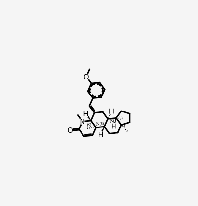 COc1cccc(C=C2C[C@H]3[C@@H]4CCC[C@@]4(C)CC[C@@H]3[C@@]3(C)C=CC(=O)N(C)[C@H]23)c1